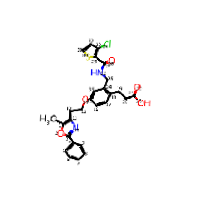 Cc1oc(-c2ccccc2)nc1CCOc1ccc(CCC(=O)O)c(CNC(=O)c2sccc2Cl)c1